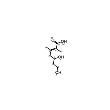 CC(CC(O)CCO)=C(C)C(=O)O